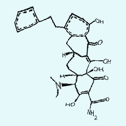 CN(C)[C@@H]1C(O)=C(C(N)=O)C(=O)[C@@]2(O)C(O)=C3C(=O)c4c(O)ccc(CCc5ccccc5)c4C[C@H]3C[C@@H]12